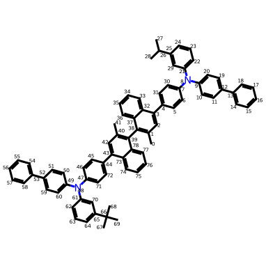 Cc1cc(-c2ccc(N(c3ccc(-c4ccccc4)cc3)c3cccc(C(C)C)c3)cc2)c2ccccc2c1-c1c(C)cc(-c2ccc(N(c3ccc(-c4ccccc4)cc3)c3cccc(C(C)(C)C)c3)cc2)c2ccccc12